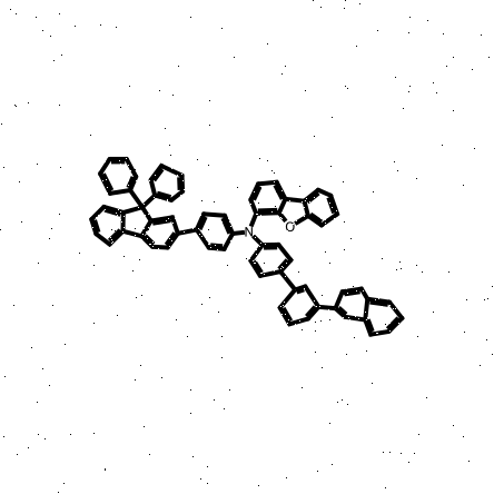 c1ccc(C2(c3ccccc3)c3ccccc3-c3ccc(-c4ccc(N(c5ccc(-c6cccc(-c7ccc8ccccc8c7)c6)cc5)c5cccc6c5oc5ccccc56)cc4)cc32)cc1